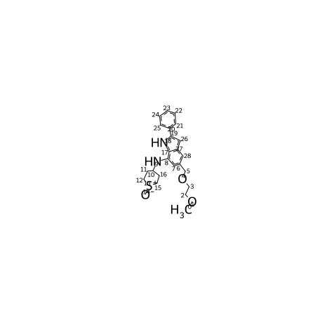 COCCOCc1cc(NC2CC[S+]([O-])CC2)c2[nH]c(-c3ccccc3)cc2c1